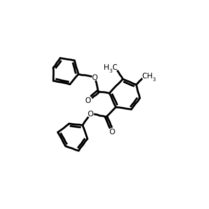 Cc1ccc(C(=O)Oc2ccccc2)c(C(=O)Oc2ccccc2)c1C